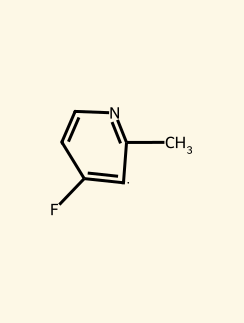 Cc1[c]c(F)ccn1